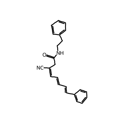 N#CC(=CC=CC=Cc1ccccc1)CC(=O)NCCc1ccccc1